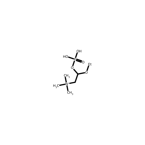 CCOC(C[N+](C)(C)C)OP(=O)(O)O